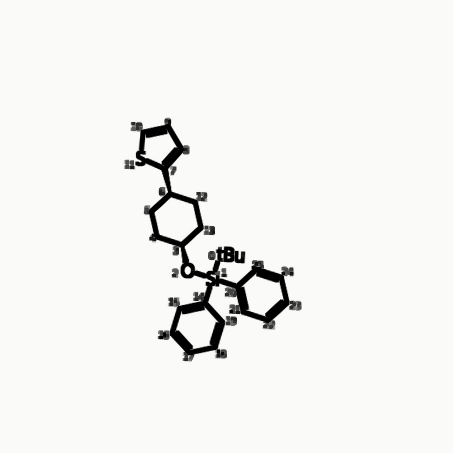 CC(C)(C)[Si](O[C@H]1CC[C@@H](c2cccs2)CC1)(c1ccccc1)c1ccccc1